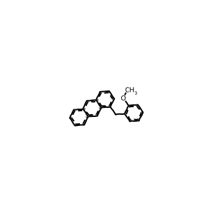 COc1ccccc1Cc1cccc2cc3ccccc3cc12